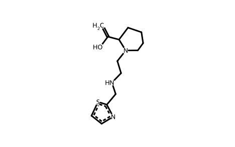 C=C(O)C1CCCCN1CCNCc1nccs1